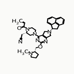 C=CC(=O)N1CCN(c2nc(OC[C@@H]3CCCN3C)nc3c2CN([C@H]2Cc4cccc5cccc2c45)C3)C[C@@H]1CC#N